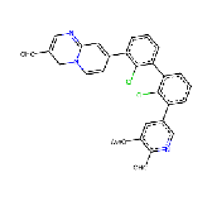 COc1cc(-c2cccc(-c3cccc(C4=CC5=NC=C(C=O)CN5C=C4)c3Cl)c2Cl)cnc1C=O